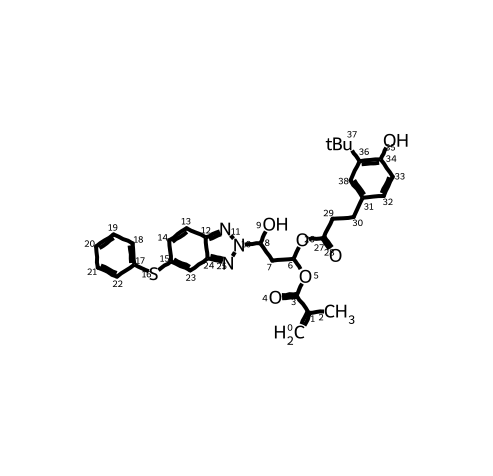 C=C(C)C(=O)OC(CC(O)n1nc2ccc(Sc3ccccc3)cc2n1)OC(=O)CCc1ccc(O)c(C(C)(C)C)c1